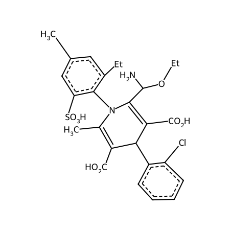 CCOC(N)C1=C(C(=O)O)C(c2ccccc2Cl)C(C(=O)O)=C(C)N1c1c(CC)cc(C)cc1S(=O)(=O)O